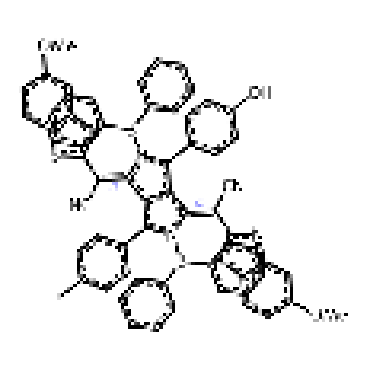 COc1ccc2sc(/C(C#N)=c3/c4c(-c5ccc(O)cc5)n(B(c5ccccc5)c5ccccc5)/c(=C(/C#N)c5nc6cc(OC)ccc6s5)c4c(-c4ccc(C)cc4)n3B(c3ccccc3)c3ccccc3)nc2c1